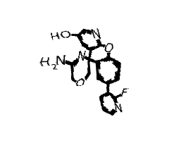 NC1=NC2(COC1)c1cc(-c3cccnc3F)ccc1Oc1ncc(O)cc12